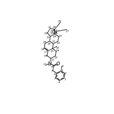 Cc1ccccc1CC(=O)N(C)C1CCC2(C)C(=CCC3C2CCC24CN(C)C(C)C2CCC34)C1